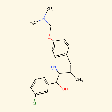 CC(Cc1ccc(OCN(C)C)cc1)C(N)C(O)c1cccc(Cl)c1